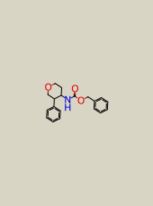 O=C(NC1CCOCC1c1ccccc1)OCc1ccccc1